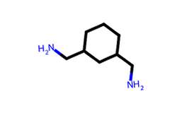 NCC1CCCC(CN)C1